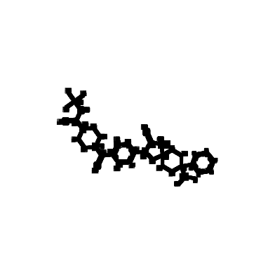 CN(C)C1(c2ccccc2)CCC2(CC1)CN(c1cnc(C(=O)N3CCN(C(=O)OC(C)(C)C)CC3)nc1)C(=O)N2